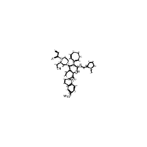 C=CC(=O)N1CCN(C2C3CC[C@]4(CCc5cc(OC)ccc5O4)C(=O)C3NC(OCC3CCCN3C)N2C2CCCCCC2)CC1CC#N